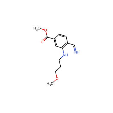 COCCCNc1cc(C(=O)OC)ccc1C=N